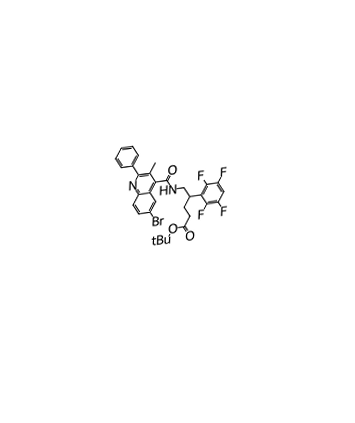 Cc1c(-c2ccccc2)nc2ccc(Br)cc2c1C(=O)NCC(CCC(=O)OC(C)(C)C)c1c(F)c(F)cc(F)c1F